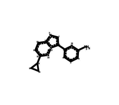 Nc1cccc(-c2cnc3ccc(C4CC4)nn23)n1